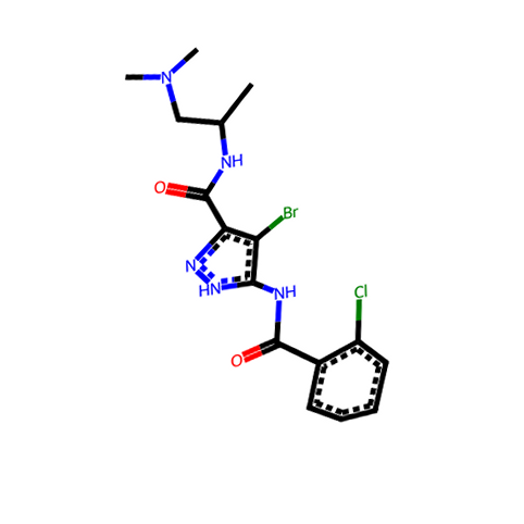 CC(CN(C)C)NC(=O)c1n[nH]c(NC(=O)c2ccccc2Cl)c1Br